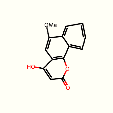 COc1cc2c(O)cc(=O)oc2c2ccccc12